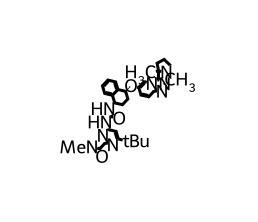 CNC(=O)c1nc(NC(=O)N[C@H]2CC[C@@H](Oc3ccc4nnc(C5(C)CCCN5C)n4c3)c3ccccc32)cc(C(C)(C)C)n1